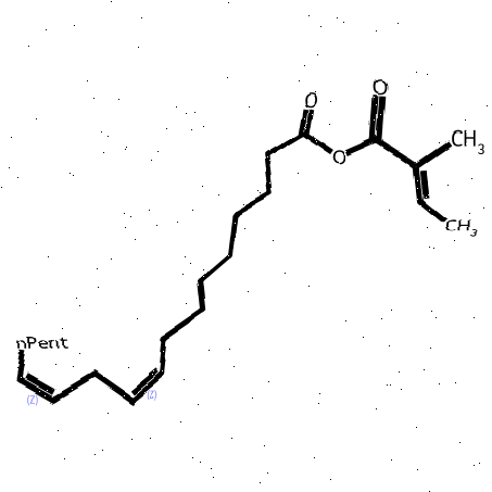 CC=C(C)C(=O)OC(=O)CCCCCCC/C=C\C/C=C\CCCCC